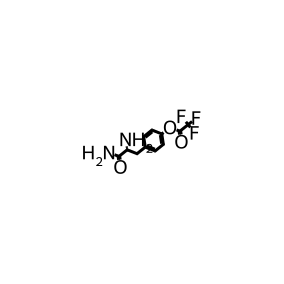 NC(=O)[C@@H](N)Cc1ccc(OC(=O)C(F)(F)F)cc1